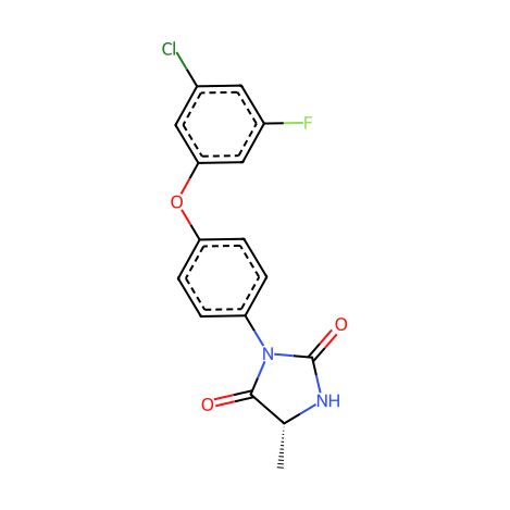 C[C@H]1NC(=O)N(c2ccc(Oc3cc(F)cc(Cl)c3)cc2)C1=O